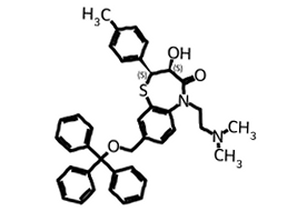 Cc1ccc([C@@H]2Sc3cc(COC(c4ccccc4)(c4ccccc4)c4ccccc4)ccc3N(CCN(C)C)C(=O)[C@@H]2O)cc1